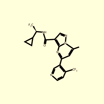 Cc1cc(-c2cnccc2C(F)(F)F)nc2c(C(=O)N[C@@H](C3CC3)C(F)(F)F)cnn12